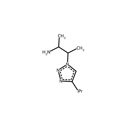 CC(C)c1cn(C(C)C(C)N)nn1